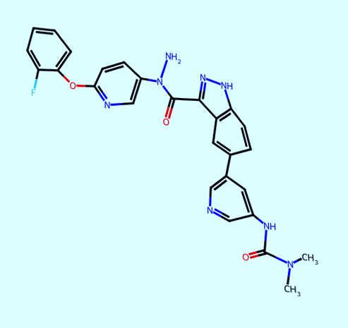 CN(C)C(=O)Nc1cncc(-c2ccc3[nH]nc(C(=O)N(N)c4ccc(Oc5ccccc5F)nc4)c3c2)c1